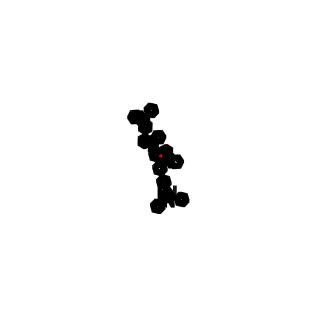 C1=Cc2c(n(C3=C(c4ccc(-n5c6ccccc6c6c(-c7ccc8c(c7)c7ccccc7n8-c7ccccc7)cccc65)cc4)CCC(c4ccc(-c5nc(-c6ccccc6)nc(-c6ccccc6)n5)cc4)=C3)c3ccccc23)CC1